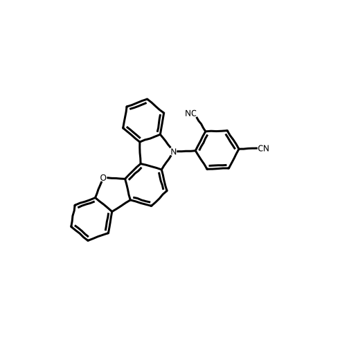 N#Cc1ccc(-n2c3ccccc3c3c4oc5ccccc5c4ccc32)c(C#N)c1